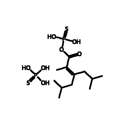 CC(C(=O)OP(O)(O)=S)=C(CC(C)C)CC(C)C.OP(O)(O)=S